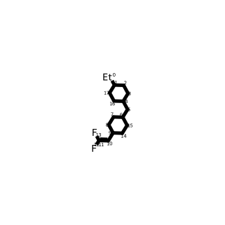 CCC1CCC(CC2CCC(C=C(F)F)CC2)CC1